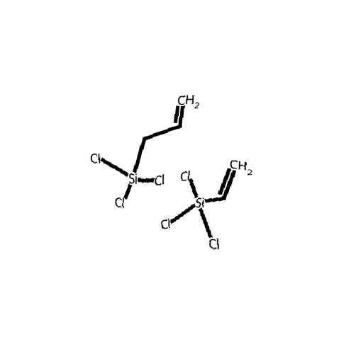 C=CC[Si](Cl)(Cl)Cl.C=C[Si](Cl)(Cl)Cl